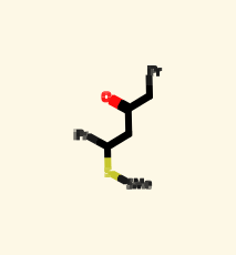 CSSC(CC(=O)CC(C)C)C(C)C